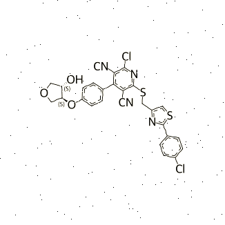 [C-]#[N+]c1c(Cl)nc(SCc2csc(-c3ccc(Cl)cc3)n2)c(C#N)c1-c1ccc(O[C@H]2COC[C@@H]2O)cc1